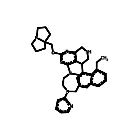 CCc1cccc2cccc(C3CNCc4nc(OCC56CCCN5CCC6)nc(N5CCCN(c6ccccn6)CC5)c43)c12